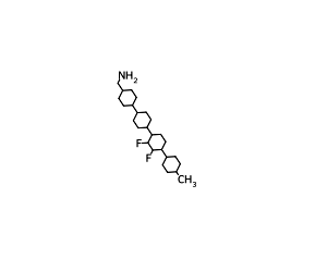 CC1CCC(C2CCC(C3CCC(C4CCC(CN)CC4)CC3)C(F)C2F)CC1